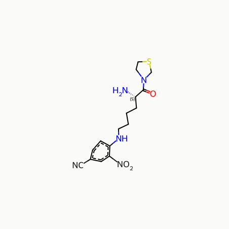 N#Cc1ccc(NCCCC[C@H](N)C(=O)N2CCSC2)c([N+](=O)[O-])c1